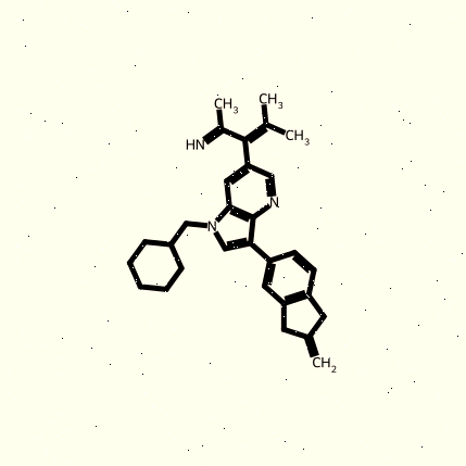 C=C1Cc2ccc(-c3cn(CC4CCCCC4)c4cc(C(C(C)=N)=C(C)C)cnc34)cc2C1